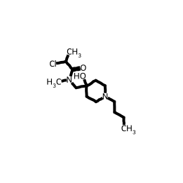 CCCCN1CCC(O)(CN(C)C(=O)C(C)Cl)CC1